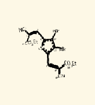 CCOC(=O)/C(C#N)=C\c1sc(/C=C(/C#N)C(=O)OCC)c(Br)c1Br